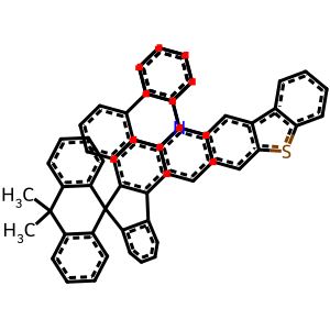 CC1(C)c2ccccc2C2(c3ccccc3-c3cc(N(c4ccc5sc6ccccc6c5c4)c4ccccc4-c4ccccc4-c4ccccc4-c4ccccc4)ccc32)c2ccccc21